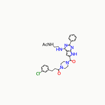 CC(=O)NCCNc1nc(-c2ccccc2)nc2[nH]c(C(=O)N3CCN(C(=O)CCc4cccc(Cl)c4)CC3)cc12